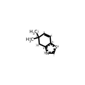 CC1(C)C=Cc2scnc2C1